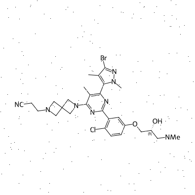 CNC[C@@H](O)COc1ccc(Cl)c(-c2nc(-c3c(C)c(Br)nn3C)c(C)c(N3CC4(CN(CCC#N)C4)C3)n2)c1